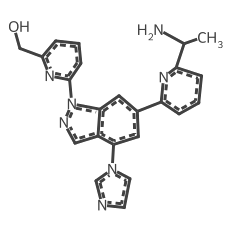 CC(N)c1cccc(-c2cc(-n3ccnc3)c3cnn(-c4cccc(CO)n4)c3c2)n1